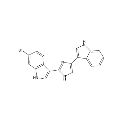 Brc1ccc2c(-c3nc(-c4c[nH]c5ccccc45)c[nH]3)c[nH]c2c1